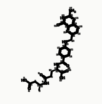 C[C@H](CC(=O)O)NC(=O)CC[C@H](NC(=O)c1ccc(NCc2cnc3nc(N)[nH]c(=O)c3n2)cc1)C(=O)O